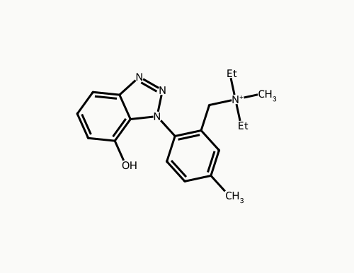 CC[N+](C)(CC)Cc1cc(C)ccc1-n1nnc2cccc(O)c21